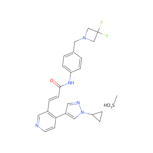 CS(=O)(=O)O.O=C(C=Cc1cnccc1-c1cnn(C2CC2)c1)Nc1ccc(CN2CC(F)(F)C2)cc1